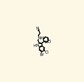 Cl.N#CCCNCc1[nH]c2cc(Br)c(Cl)cc2c1-c1ccccc1